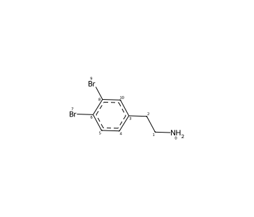 NCCc1ccc(Br)c(Br)c1